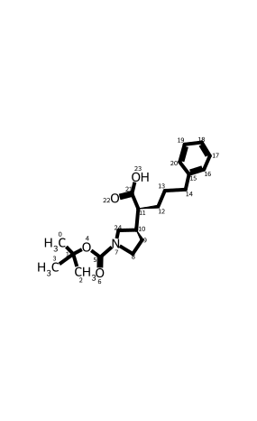 CC(C)(C)OC(=O)N1CC[C@H]([C@H](CCCc2ccccc2)C(=O)O)C1